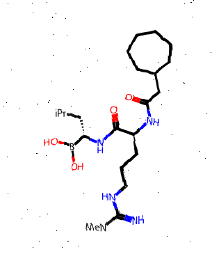 CNC(=N)NCCC[C@H](NC(=O)CC1CCCCCC1)C(=O)N[C@@H](CC(C)C)B(O)O